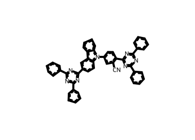 N#Cc1cc(-n2c3ccccc3c3cc(-c4nc(-c5ccccc5)nc(-c5ccccc5)n4)ccc32)ccc1-c1nc(-c2ccccc2)nc(-c2ccccc2)n1